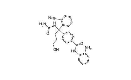 N#Cc1ccccc1C(CCCO)(NC(N)=O)c1ccc(C(=O)Nc2ccccc2N)nc1